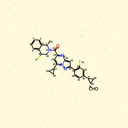 C[C@@H]1c2ccccc2C(F)CN1C(=O)c1cc(C2CC2)n2nc(-c3ccc([C@H]4C[C@@H]4C=O)cc3F)cc2n1